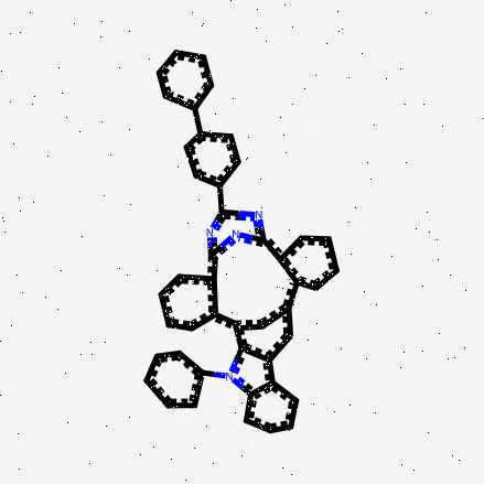 c1ccc(-c2ccc(-c3nc4nc(n3)c3ccccc3c3cc(cc5c6ccccc6n(-c6ccccc6)c35)c3ccccc43)cc2)cc1